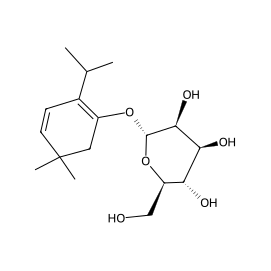 CC(C)C1=C(O[C@H]2O[C@H](CO)[C@@H](O)[C@H](O)[C@@H]2O)CC(C)(C)C=C1